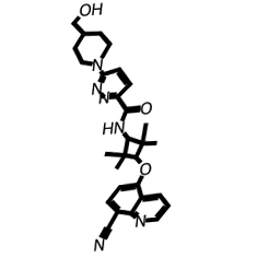 CC1(C)C(NC(=O)c2ccc(N3CCC(CO)CC3)nn2)C(C)(C)C1Oc1ccc(C#N)c2ncccc12